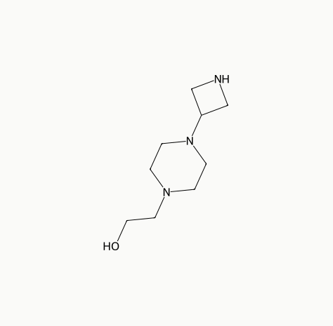 OCCN1CCN(C2CNC2)CC1